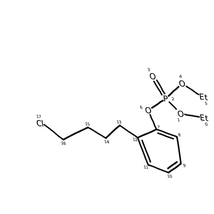 CCOP(=O)(OCC)Oc1ccccc1CCCCCl